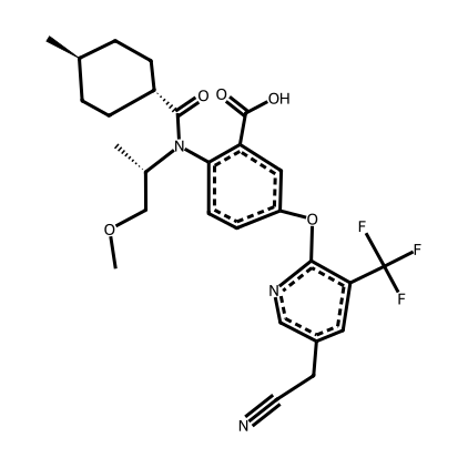 COC[C@H](C)N(c1ccc(Oc2ncc(CC#N)cc2C(F)(F)F)cc1C(=O)O)C(=O)[C@H]1CC[C@H](C)CC1